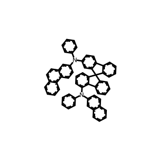 c1ccc(N(c2ccc3c(c2)C2(c4ccccc4-3)c3ccccc3-c3c(N(c4ccccc4)c4ccc5ccccc5c4)cccc32)c2ccc3c(ccc4ccccc43)c2)cc1